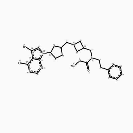 CC(C)(C)OC(=O)N(CCc1ccccc1)CC1CN(CC2CCC(n3cc(Br)c4c(Cl)ncnc43)C2)C1